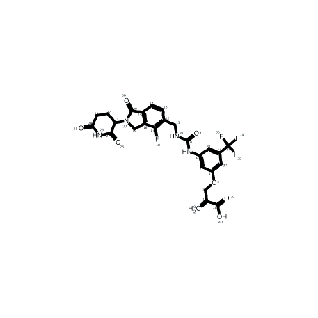 C=C(COc1cc(NC(=O)NCc2ccc3c(c2F)CN(C2CCC(=O)NC2=O)C3=O)cc(C(F)(F)F)c1)C(=O)O